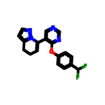 FC(F)c1ccc(Oc2ncncc2C2=CCCc3ccnn32)cc1